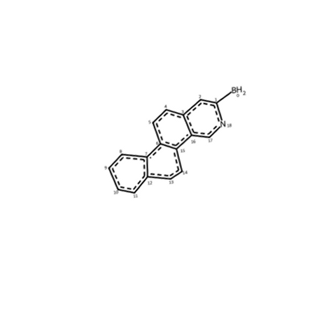 Bc1cc2ccc3c4ccccc4ccc3c2cn1